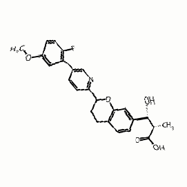 COc1ccc(F)c(-c2ccc(C3CCc4ccc([C@H](O)[C@H](C)C(=O)O)cc4O3)nc2)c1